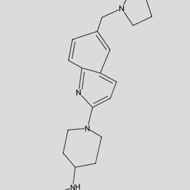 CNC1CCN(c2ccc3cc(CN4CCCC4)ccc3n2)CC1